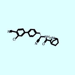 N#Cc1ccc(-c2ccc(C[C@@H](C#N)NC(=O)C3NC4CCC3C4)cc2)cc1Cl